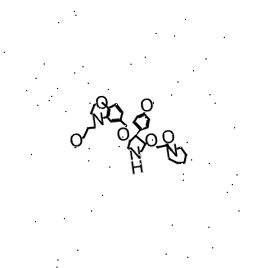 COCCCN1CCOc2ccc(CO[C@H]3CNC[C@@H](OCC(=O)N4CCCCC4)[C@@H]3c3ccc(OC)cc3)cc21